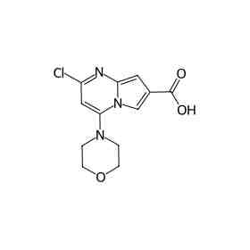 O=C(O)c1cc2nc(Cl)cc(N3CCOCC3)n2c1